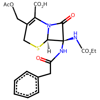 CCOC(=O)N[C@]1(NC(=O)Cc2ccccc2)C(=O)N2C(C(=O)O)=C(COC(C)=O)CS[C@@H]21